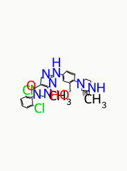 C[C@@H]1CN(c2ccc(Nc3ncc4c(n3)N(C)CN(c3c(Cl)cccc3Cl)C4=O)cc2CO)CCN1